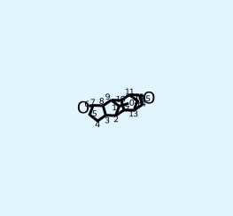 CC1C2C3CC4OC4C3C1C1C3CC(C4OC34)C21